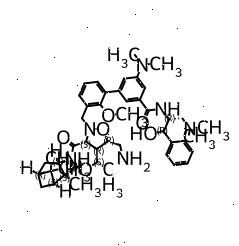 COc1c(CN2O[C@@H](CN)[C@@H]([C@H](C)O)[C@H]2C(=O)N[C@H]2C[C@H]3C[C@@H]([C@@H]2C)C3(C)C)cccc1-c1cc(C(=O)N[C@H](CN(C)C)[C@H](O)c2ccccc2)cc(N(C)C)c1